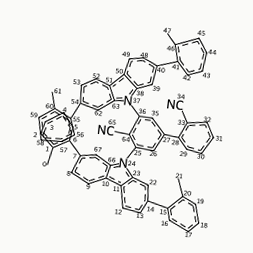 Cc1ccccc1-c1ccc2c3ccc(-c4ccccc4C)cc3n(-c3cc(-c4ccccc4C#N)cc(-n4c5cc(-c6ccccc6C)ccc5c5ccc(-c6ccccc6C)cc54)c3C#N)c2c1